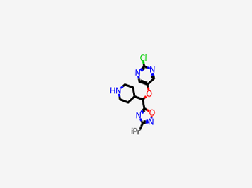 CC(C)c1noc(C(Oc2cnc(Cl)nc2)C2CCNCC2)n1